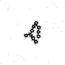 c1ccc(-c2ccc(-c3cccc(-n4c5ccccc5c5ccc(-c6ccc(-c7nc(-c8ccccc8)nc(-c8ccc(-c9ccccc9)cc8)n7)cc6)cc54)c3)cc2)cc1